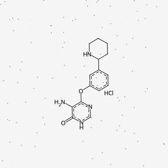 Cl.Nc1c(Oc2cccc(C3CCCCN3)c2)nc[nH]c1=O